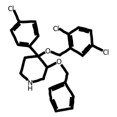 Clc1ccc(C2(OCc3cc(Cl)ccc3Cl)CCNCC2OCc2ccccc2)cc1